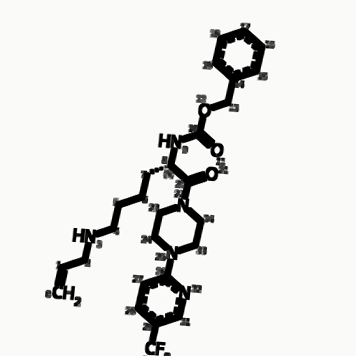 C=CCNCCCC[C@H](NC(=O)OCc1ccccc1)C(=O)N1CCN(c2ccc(C(F)(F)F)cn2)CC1